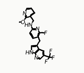 COc1ncccc1CNc1ccc(Cc2c[nH]c3ncc(C(F)(F)F)cc23)c(F)n1